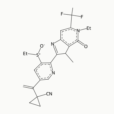 C=C(c1cnc(C2=Nc3cc(C(C)(F)F)n(CC)c(=O)c3C2C)c([S+]([O-])CC)c1)C1(C#N)CC1